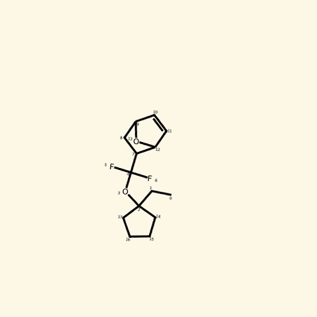 CCC1(OC(F)(F)C2CC3C=CC2O3)CCCC1